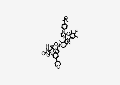 Cc1cc(-n2nc3c(c2-n2ccn(-c4ccc(P(C)(C)=O)cc4)c2=O)[C@H](C)N(C(=O)c2cc4cc(C5CCOCC5)ccc4n2C2(c4noc(=O)[nH]4)CC2)CC3)cc(C)c1F